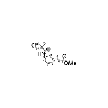 COC(=O)/C=C/c1cccc(NC(=O)C(C)(C)CCl)c1